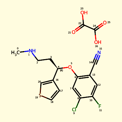 CNCC[C@@H](Oc1cc(Cl)c(F)cc1C#N)c1ccsc1.O=C(O)C(=O)O